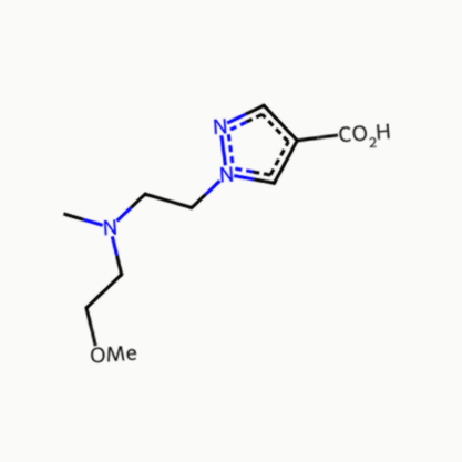 COCCN(C)CCn1cc(C(=O)O)cn1